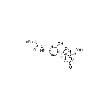 CCCCCC(=O)ONC1=NC(O)N([C@@H]2O[C@H](CO)[C@H]3OC(=O)O[C@H]32)C=C1